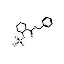 CS(=O)(=O)OC1CCCCN1C(=O)OCc1ccccc1